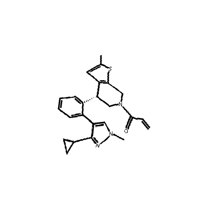 C=CC(=O)N1Cc2sc(C)cc2[C@@H](c2ccccc2-c2cn(C)nc2C2CC2)C1